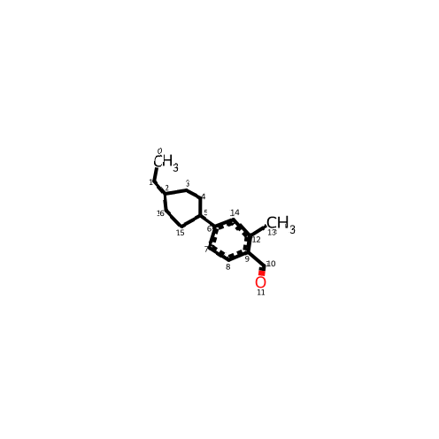 CCC1CCC(c2ccc(C=O)c(C)c2)CC1